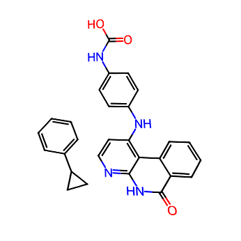 O=C(O)Nc1ccc(Nc2ccnc3[nH]c(=O)c4ccccc4c23)cc1.c1ccc(C2CC2)cc1